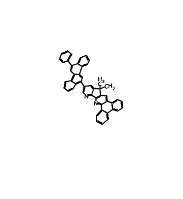 CC1(C)c2cc(-c3cc4c5ccccc5c(-c5ccccc5)cc4c4ccccc34)cnc2-c2nc3c4ccccc4c4ccccc4c3cc21